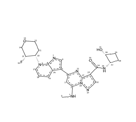 CNc1cc(-c2cnc3n([C@H]4CCOC[C@H]4F)cccc2-3)nc2c(C(=O)N[C@H]3CC[C@H]3O)cnn12